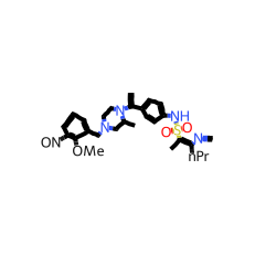 C=N/C(CCC)=C(/C)S(=O)(=O)Nc1ccc(C(=C)N2CCN(Cc3cccc(N=O)c3OC)CC2C)cc1